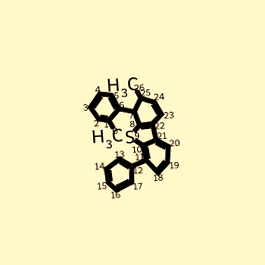 Cc1ccccc1C1c2sc3c(-c4ccccc4)cccc3c2C=CC1C